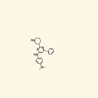 CN(C)c1ccc(Nc2cc(-c3ccccc3)nc(C3CCCNC3)n2)cc1